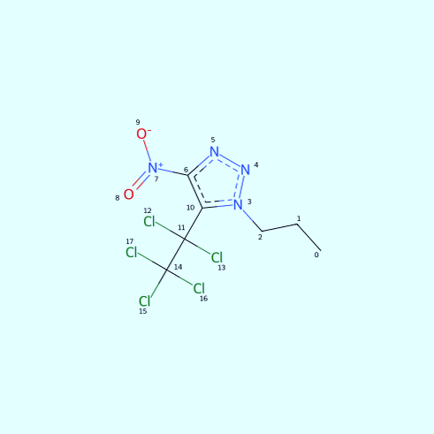 CCCn1nnc([N+](=O)[O-])c1C(Cl)(Cl)C(Cl)(Cl)Cl